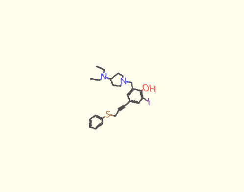 CCN(CC)C1CCN(Cc2cc(C#CCSc3ccccc3)cc(I)c2O)CC1